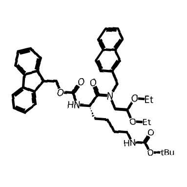 CCOC(CN(Cc1ccc2ccccc2c1)C(=O)[C@H](CCCCNC(=O)OC(C)(C)C)NC(=O)OCC1c2ccccc2-c2ccccc21)OCC